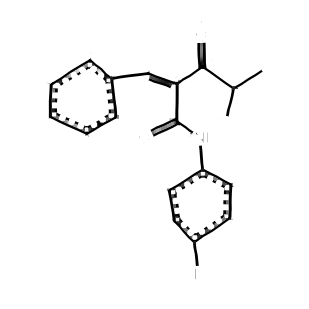 CC(C)C(=O)C(=Cc1ccccc1)C(=O)Nc1ccc(F)cc1